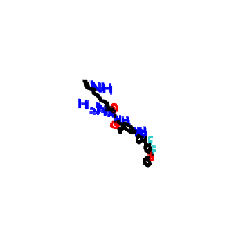 C=CC(=N)CCCC[C@@H](N)C(=O)NCCNC(=O)c1ccc(NC2=CC=CC3C(c4ccc(OC5C=CC=CC5)c(F)c4F)=CN=C23)cc1CC